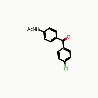 CC(=O)Nc1ccc(C(=O)c2ccc(Cl)cc2)cc1